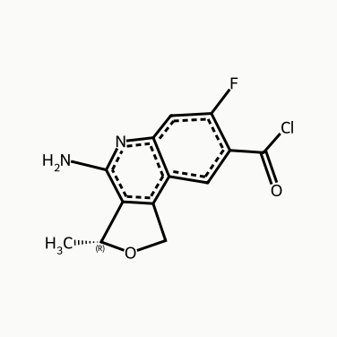 C[C@H]1OCc2c1c(N)nc1cc(F)c(C(=O)Cl)cc21